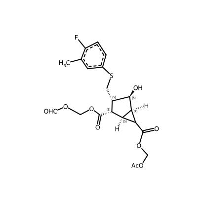 CC(=O)OCOC(=O)C1[C@@H]2[C@H](O)[C@@H](CSc3ccc(F)c(C)c3)[C@@H](C(=O)OCOC=O)[C@H]12